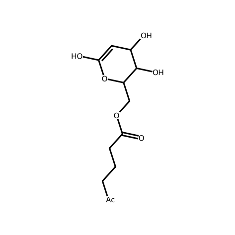 CC(=O)CCCC(=O)OCC1OC(O)=CC(O)C1O